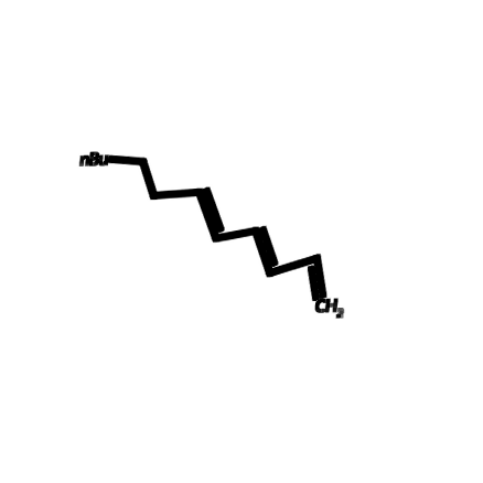 C=CC=CC=CCCC[CH]CC